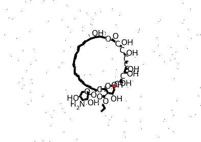 CCCOC(=O)[C@H]1[C@@H]2CC(O[C@@H]3OC[C@@H](O)[C@H](N)[C@H]3O)/C=C/C=C/C=C/C=C/C=C/C=C/C=C/[C@H](C)[C@@H](O)C[C@H](C)OC(=O)CC(O)C[C@H](O)CCC(O)C(O)CC(O)CC(O)(C[C@@H]1O)O2